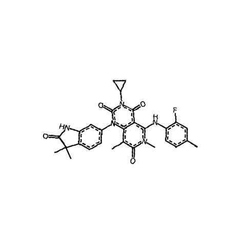 Cc1ccc(Nc2c3c(=O)n(C4CC4)c(=O)n(-c4ccc5c(c4)NC(=O)C5(C)C)c3c(C)c(=O)n2C)c(F)c1